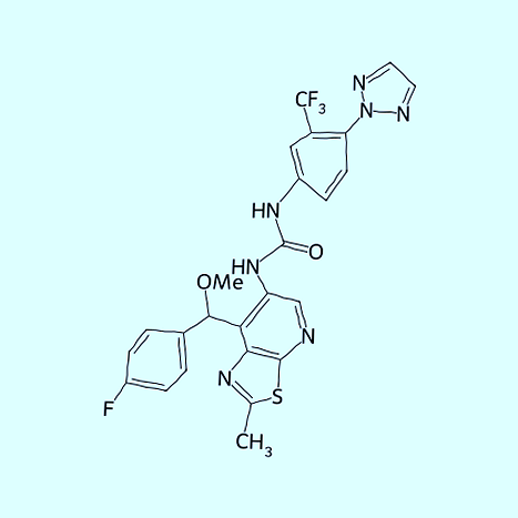 COC(c1ccc(F)cc1)c1c(NC(=O)Nc2ccc(-n3nccn3)c(C(F)(F)F)c2)cnc2sc(C)nc12